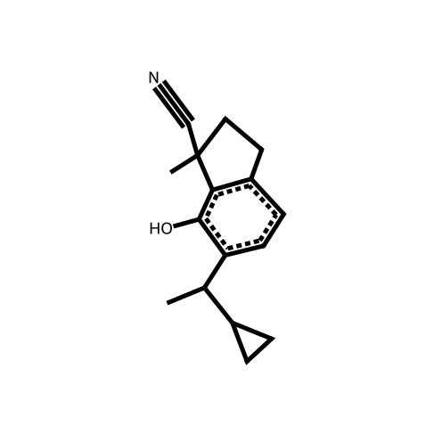 CC(c1ccc2c(c1O)C(C)(C#N)CC2)C1CC1